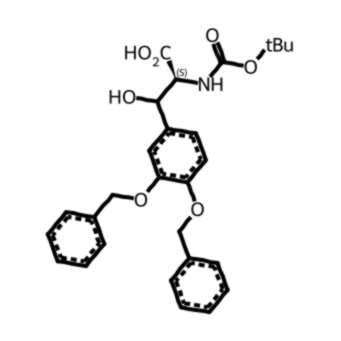 CC(C)(C)OC(=O)N[C@H](C(=O)O)C(O)c1ccc(OCc2ccccc2)c(OCc2ccccc2)c1